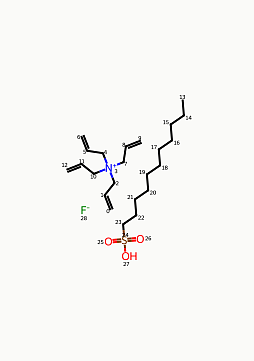 C=CC[N+](CC=C)(CC=C)CC=C.CCCCCCCCCCCS(=O)(=O)O.[F-]